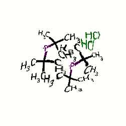 CC(C)(C)[P]C(C)(C)C.CC(C)(C)[P]C(C)(C)C.Cl.Cl